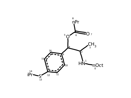 CCCCCCCCNC(C)C(OC(=O)CCC)c1ccc(SC(C)C)cc1